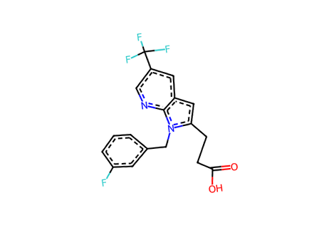 O=C(O)CCc1cc2cc(C(F)(F)F)cnc2n1Cc1cccc(F)c1